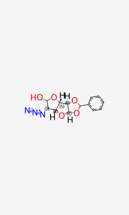 [N-]=[N+]=N[C@@H]1C(O)O[C@@H]2[C@H]3OC(c4ccccc4)O[C@H]3O[C@@H]21